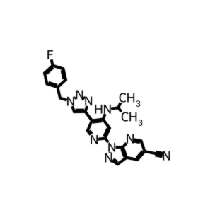 CC(C)Nc1cc(-n2ncc3cc(C#N)cnc32)ncc1-c1cn(Cc2ccc(F)cc2)nn1